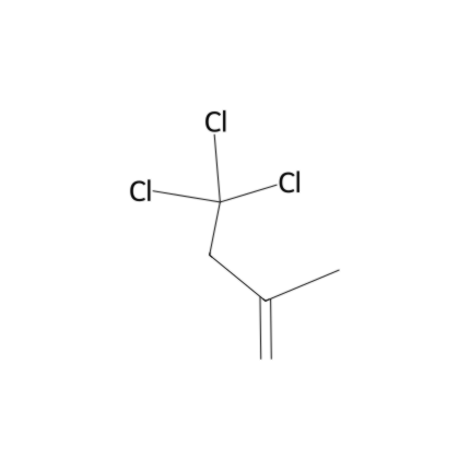 C=C(C)CC(Cl)(Cl)Cl